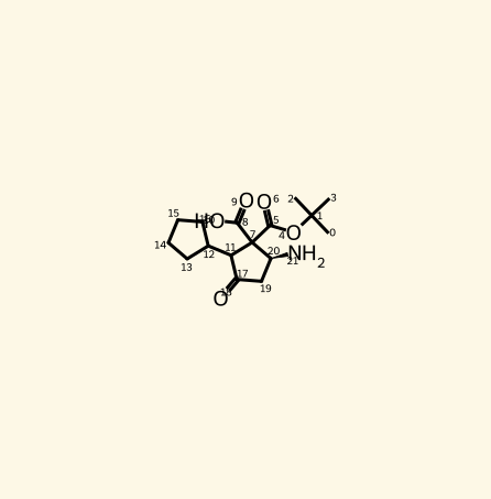 CC(C)(C)OC(=O)C1(C(=O)O)C(C2CCCC2)C(=O)C[C@@H]1N